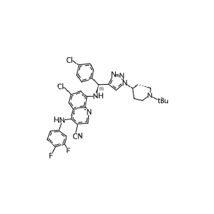 CC(C)(C)N1CCC(n2cc([C@@H](Nc3cc(Cl)cc4c(Nc5ccc(F)c(F)c5)c(C#N)cnc34)c3ccc(Cl)cc3)nn2)CC1